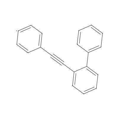 C(#Cc1ccccc1-c1ccccc1)c1cc[c]cc1